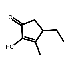 CCC1CC(=O)C(O)=C1C